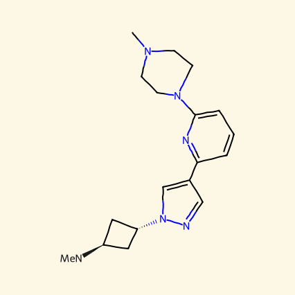 CN[C@H]1C[C@H](n2cc(-c3cccc(N4CCN(C)CC4)n3)cn2)C1